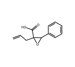 C=CCC1(C(=O)O)OC1c1ccccc1